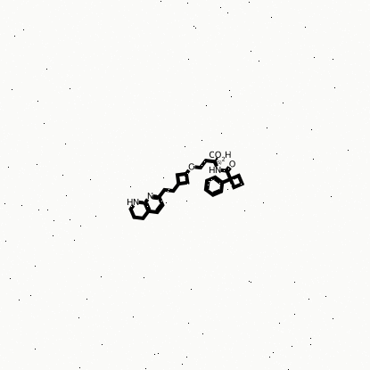 O=C(O)[C@H](CCOC1CC(CCc2ccc3c(n2)NCCC3)C1)NC(=O)C1(c2ccccc2)CCC1